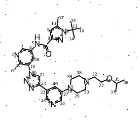 Cc1ncc(NC(=O)c2cc(C)n(C(C)(C)C)n2)cc1-n1cc(-c2cncc(N3CCN(CCOC(C)C)CC3)c2)nn1